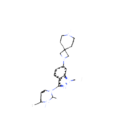 [2H]C1C=CN(c2nn(C)c3cc(N4CC5(CCNCC5)C4)ccc23)C([2H])N1